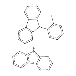 Cc1ccccc1C1c2ccccc2-c2ccccc21.c1ccc2c(c1)[nH]c1ccccc12